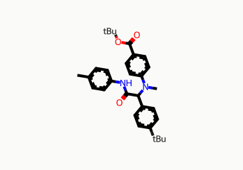 Cc1ccc(NC(=O)C(c2ccc(C(C)(C)C)cc2)N(C)c2ccc(C(=O)OC(C)(C)C)cc2)cc1